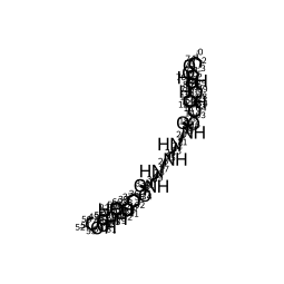 C[C@@H]1CC[C@@]2(C[C@H]3[C@H](C[C@H]4[C@@H]5CC=C6C[C@@H](OC(=O)NCCNCCNCCNCCNC(=O)O[C@H]7CC[C@@]8(C)C(=CC[C@H]9[C@@H]%10C[C@@H]%11O[C@]%12(CC[C@@H](C)CO%12)C[C@@H]%11[C@@]%10(C)CC[C@@H]98)C7)CC[C@]6(C)[C@H]5CC[C@@]43C)O2)OC1